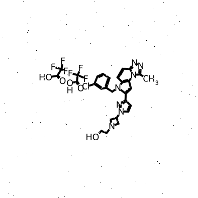 Cc1nnc2ccc3c(cc(-c4ccn(C5CN(CCO)C5)n4)n3Cc3cccc(Cl)c3)n12.O=C(O)C(F)(F)F.O=C(O)C(F)(F)F